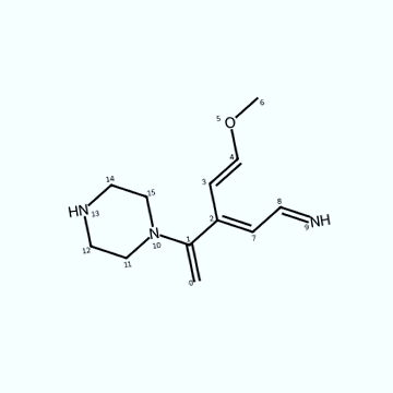 C=C(C(/C=C/OC)=C/C=N)N1CCNCC1